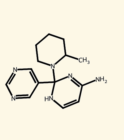 CC1CCCCN1C1(c2cncnc2)N=C(N)C=CN1